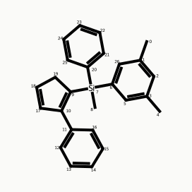 Cc1cc(C)cc([Si](C)(C2=C(c3ccccc3)C=CC2)c2ccccc2)c1